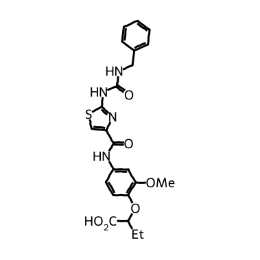 CCC(Oc1ccc(NC(=O)c2csc(NC(=O)NCc3ccccc3)n2)cc1OC)C(=O)O